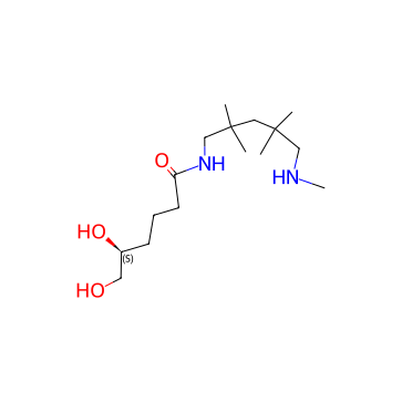 CNCC(C)(C)CC(C)(C)CNC(=O)CCC[C@H](O)CO